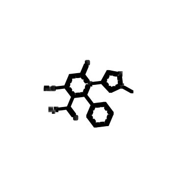 COc1cc(=O)n(-c2cnn(C)c2)c(-c2ccccc2)c1C(N)=O